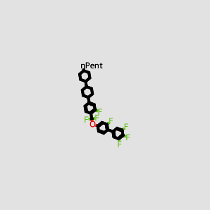 CCCCCC1CCC(C2CCC(c3ccc(C(F)(F)Oc4ccc(-c5cc(F)c(F)c(F)c5)c(F)c4)c(F)c3)CC2)CC1